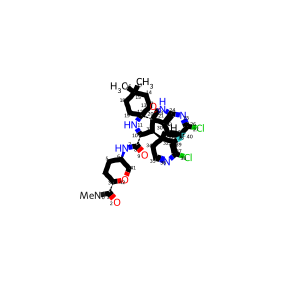 CNC(=O)[C@@H]1CC[C@@H](NC(=O)[C@@H]2NC3(CCC(C)(C)CC3)[C@@]3(C(=O)Nc4nc(Cl)ccc43)[C@H]2C2(C)CC=NC(Cl)=C2F)CO1